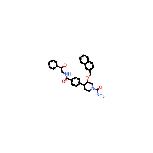 NC(=O)N1CCC(c2ccc(C(=O)NCC(=O)c3ccccc3)cc2)C(OCc2ccc3ccccc3c2)C1